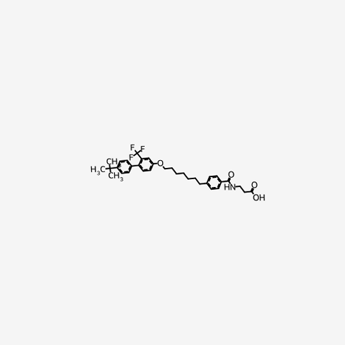 CC(C)(C)c1ccc(-c2ccc(OCCCCCCCc3ccc(C(=O)NCCC(=O)O)cc3)cc2C(F)(F)F)cc1